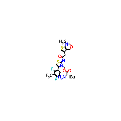 CC[C@H](C)[C@H](N)C(=O)OCn1c(-c2ccc(F)c(C(F)(F)F)c2F)cs/c1=N\C(=O)Cc1csc2c1COCN2C